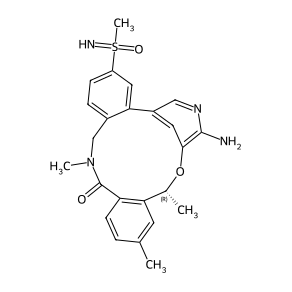 Cc1ccc2c(c1)[C@@H](C)Oc1cc(cnc1N)-c1cc(S(C)(=N)=O)ccc1CN(C)C2=O